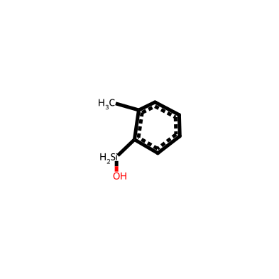 Cc1ccccc1[SiH2]O